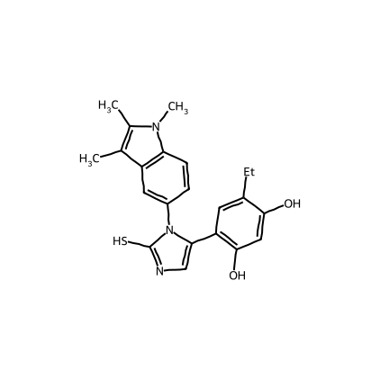 CCc1cc(-c2cnc(S)n2-c2ccc3c(c2)c(C)c(C)n3C)c(O)cc1O